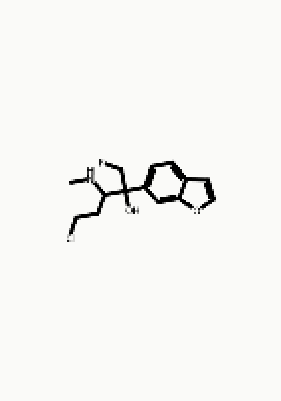 CNC(CCCl)C(O)(CF)c1ccc2ccoc2c1